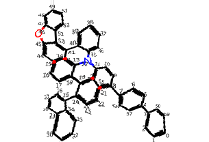 c1ccc(-c2ccc(-c3ccc(N(c4ccccc4-c4ccccc4-c4cccc5ccccc45)c4ccccc4-c4cccc5oc6ccccc6c45)cc3)cc2)cc1